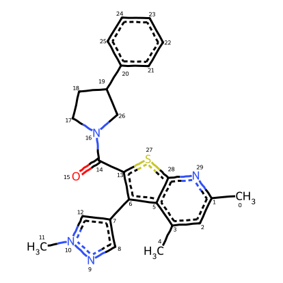 Cc1cc(C)c2c(-c3cnn(C)c3)c(C(=O)N3CCC(c4ccccc4)C3)sc2n1